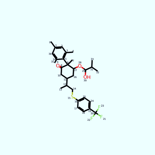 Cc1cc(C)c(C2(C)C(=O)CC(C(C)CSc3ccc(C(F)(F)F)cc3)CC2OC(O)C(C)C)c(C)c1